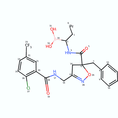 CC(C)CC(NC(=O)C1(Cc2ccccc2)CC(CNC(=O)c2cc(C(F)(F)F)ccc2Cl)=NO1)B(O)O